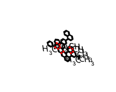 CC(C)(C)c1cc(-c2cccc3cccc(-c4ccccc4N(c4cc(-c5cccc6ccccc56)ccc4-c4ccccc4)c4cccc5c4-c4ccccc4C5(C)c4ccccc4)c23)cc(C(C)(C)C)c1